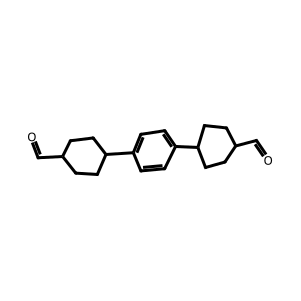 O=CC1CCC(c2ccc(C3CCC(C=O)CC3)cc2)CC1